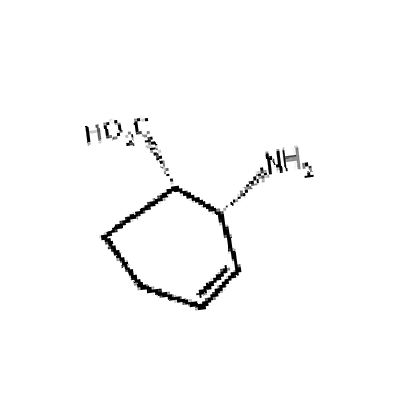 N[C@@H]1C=CCC[C@@H]1C(=O)O